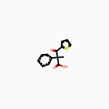 CC(C(=O)O)(C(=O)c1cccs1)c1ccccc1